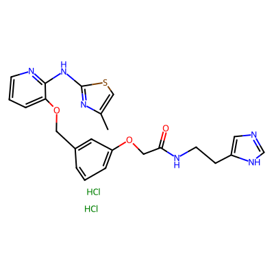 Cc1csc(Nc2ncccc2OCc2cccc(OCC(=O)NCCc3cnc[nH]3)c2)n1.Cl.Cl